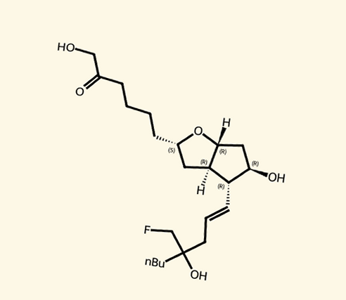 CCCCC(O)(CF)CC=C[C@@H]1[C@H]2C[C@H](CCCCC(=O)CO)O[C@@H]2C[C@H]1O